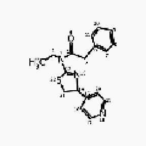 CCN(C(=O)Cc1ccccc1)C1=NC(c2ccncc2)CS1